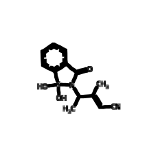 C/C(=C\C#N)C(C)N1C(=O)c2ccccc2S1(O)O